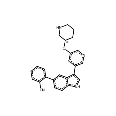 N#Cc1ccccc1-c1ccc2[nH]cc(-c3cncc(O[C@@H]4CCCNC4)n3)c2c1